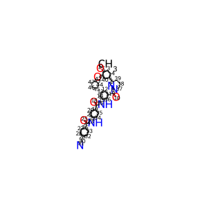 COc1ccc(C2=NN(C(=O)c3cccc(NC(=O)c4ccc(NC(=O)c5ccc(C#N)cc5)cc4)c3)CCC2)cc1OC1CCCC1